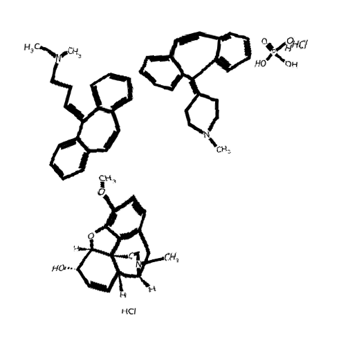 CN(C)CCC=C1c2ccccc2C=Cc2ccccc21.CN1CCC(=C2c3ccccc3C=Cc3ccccc32)CC1.COc1ccc2c3c1O[C@H]1[C@@H](O)C=C[C@H]4[C@@H](C2)N(C)CC[C@@]341.Cl.Cl.O=P(O)(O)O